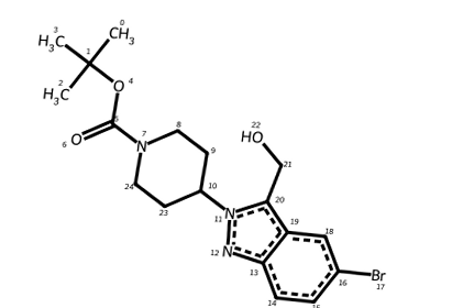 CC(C)(C)OC(=O)N1CCC(n2nc3ccc(Br)cc3c2CO)CC1